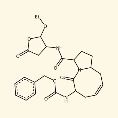 CCOC1OC(=O)CC1NC(=O)C1CCC2CC=CCC(NC(=O)OCc3ccccc3)C(=O)N21